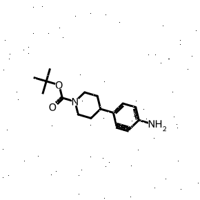 CC(C)(C)OC(=O)N1CCC(c2c#cc(N)cc2)CC1